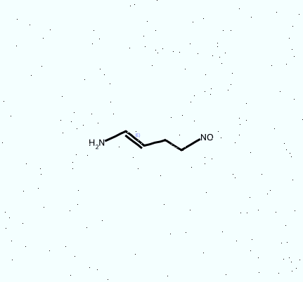 N/C=C/CCN=O